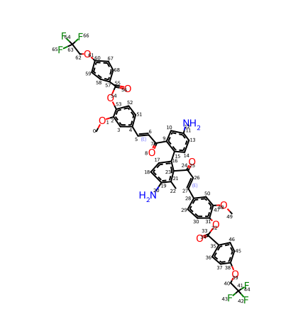 COc1cc(/C=C/C(=O)c2cc(N)ccc2-c2ccc(N)c(C)c2C(=O)/C=C/c2ccc(OC(=O)c3ccc(OCC(F)(F)F)cc3)c(OC)c2)ccc1OC(=O)c1ccc(OCC(F)(F)F)cc1